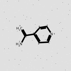 C=C(N)c1ccncc1